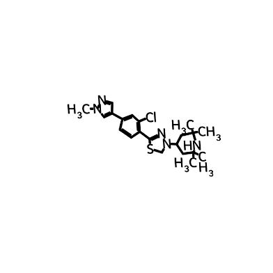 Cn1cc(-c2ccc(C3=NN(C4CC(C)(C)NC(C)(C)C4)CS3)c(Cl)c2)cn1